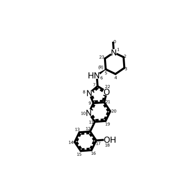 CN1CCC[C@@H](Nc2nc3nc(-c4ccccc4O)ccc3o2)C1